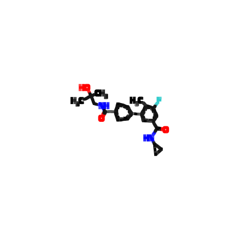 Cc1c(F)cc(C(=O)NC2CC2)cc1-c1ccc(C(=O)NCC(C)(C)O)cc1